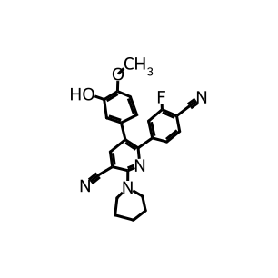 COc1ccc(-c2cc(C#N)c(N3CCCCC3)nc2-c2ccc(C#N)c(F)c2)cc1O